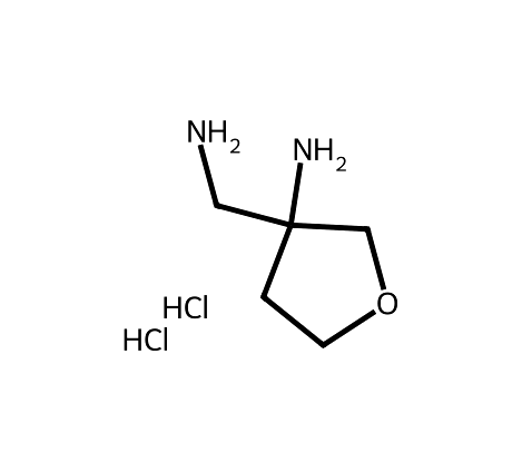 Cl.Cl.NCC1(N)CCOC1